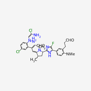 CNc1ccc(-c2[nH]c(C3C[C@@H](C)/C(=C/C(=C\C=O)c4cc(Cl)ccc4N(N)/C=C(\N)Cl)N3C)nc2F)cc1CCC=O